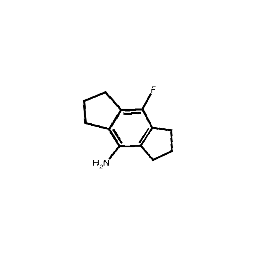 Nc1c2c(c(F)c3c1CCC3)CCC2